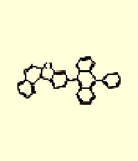 c1ccc(-c2c3ccccc3c(-c3ccc4c(c3)oc3ccc5ccccc5c34)c3ccccc23)cc1